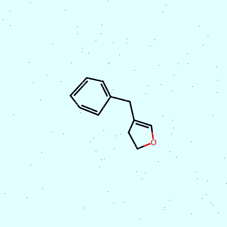 C1=C(Cc2ccccc2)CCO1